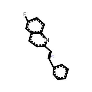 Fc1ccc2nc(/C=C/c3ccccc3)ccc2c1